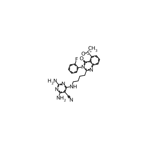 C[S+]([O-])c1cccc2nc(CCCCNc3nc(N)nc(N)c3C#N)n(-c3ccccc3F)c(=O)c12